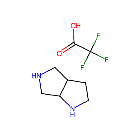 C1CC2CNCC2N1.O=C(O)C(F)(F)F